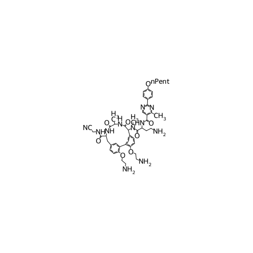 CCCCCOc1ccc(-c2ncc(C(=O)NC(CCN)C(=O)N(C)C3C(=O)NC(C)C(=O)NC(C(=O)NCC#N)Cc4ccc(OCCN)c(c4)-c4cc3ccc4OCCN)c(C)n2)cc1